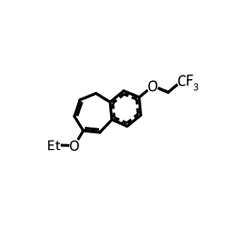 CCOC1=Cc2ccc(OCC(F)(F)F)cc2CC=C1